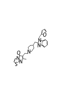 Cc1nc2sccn2c(=O)c1CCN1CCC(Cc2nc3ccccc3n2Cc2ccco2)CC1